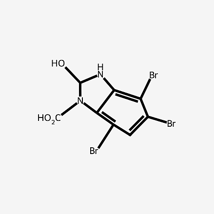 O=C(O)N1c2c(Br)cc(Br)c(Br)c2NC1O